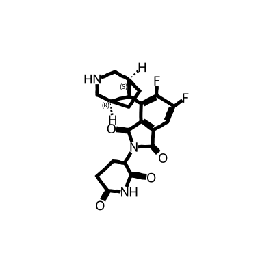 O=C1CCC(N2C(=O)c3cc(F)c(F)c(C4[C@@H]5CC[C@H]4CNC5)c3C2=O)C(=O)N1